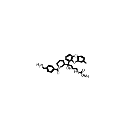 COC(=O)NCCCC(O)(c1cccc(Cl)c1Oc1cccc(C)c1)[C@@H]1CCCN(C(=O)c2ccc(CN)cc2)C1